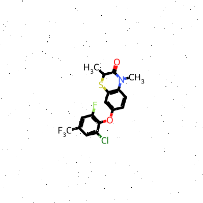 CC1Sc2cc(Oc3c(F)cc(C(F)(F)F)cc3Cl)ccc2N(C)C1=O